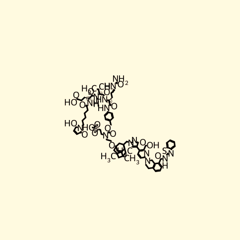 Cc1c(-c2ccc(N3CCc4cccc(C(=O)Nc5nc6ccccc6s5)c4C3)nc2C(=O)O)cnn1CC12CC3(OCCN(CCS(=O)(=O)O)C(=O)OCc4ccc(NC(=O)[C@H](CCCNC(N)=O)NC(=O)[C@@H](NC(=O)[C@H](CCC(=O)O)NC(=O)CCCCCN5C(=O)C=CC5O)C(C)C)cc4)CC4(C)CC(C)(C1)C4(C2)C3